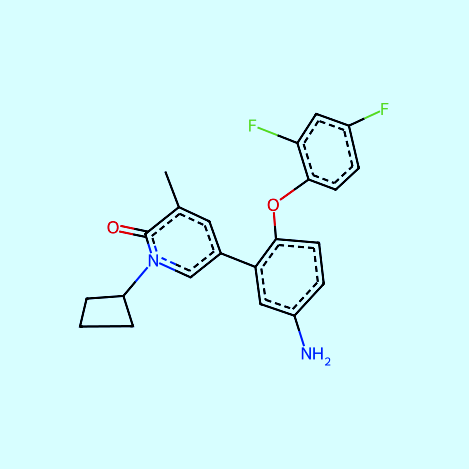 Cc1cc(-c2cc(N)ccc2Oc2ccc(F)cc2F)cn(C2CCC2)c1=O